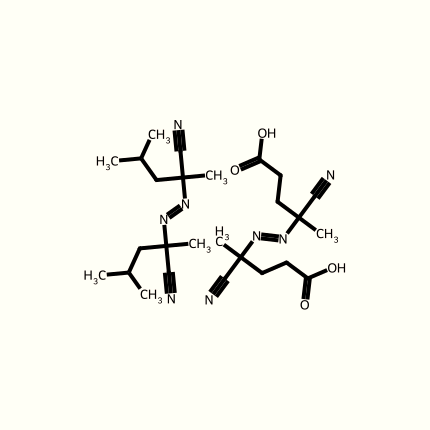 CC(C#N)(CCC(=O)O)N=NC(C)(C#N)CCC(=O)O.CC(C)CC(C)(C#N)N=NC(C)(C#N)CC(C)C